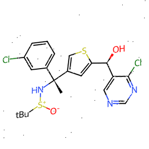 CC(C)(C)[S+]([O-])N[C@](C)(c1cccc(Cl)c1)c1csc([C@@H](O)c2cncnc2Cl)c1